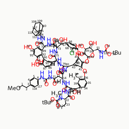 COCCc1ccc(NC(=O)NC(=O)C[C@@H]2NC(=O)[C@H](NC(=O)[C@@H](CC(C)C)N(C)C(=O)OC(C)(C)C)[C@H](O)c3ccc(c(C)c3)Oc3cc4cc(c3O[C@@H]3O[C@H](CNC(=O)OC(C)(C)C)[C@@H](O)[C@H](O)[C@H]3O)Oc3ccc(cc3Cl)[C@@H](O)[C@@H]3NC(=O)[C@H](NC(=O)C4NC2=O)c2ccc(O)c(c2)-c2c(O)cc(O)cc2[C@@H](C(=O)NC2C4CC5CC(C4)CC2C5)NC3=O)cc1